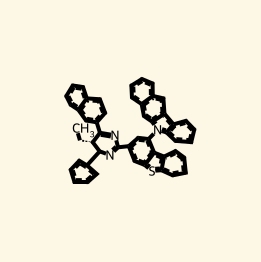 CC[C@@H]1C(c2ccc3ccccc3c2)=NC(c2cc(-n3c4ccccc4c4cc5ccccc5cc43)c3c(c2)sc2ccccc23)=NC1c1ccccc1